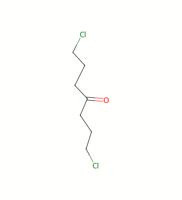 O=C(CCCCl)CCCCl